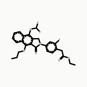 CCCOc1c2c(c(OC(F)F)c3ccccc13)CN(c1ccc(CC(=O)OCC)c(F)c1)C2=O